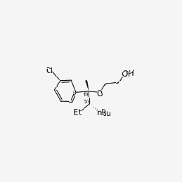 CCCC[C@H](CC)[C@@](C)(OCCO)c1cccc(Cl)c1